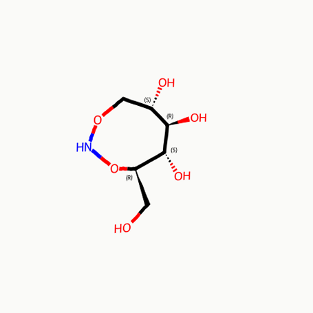 OC[C@H]1ONOC[C@H](O)[C@@H](O)[C@@H]1O